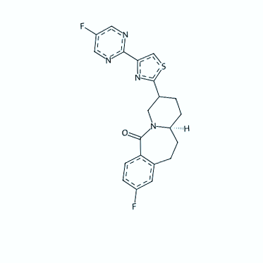 O=C1c2ccc(F)cc2CC[C@@H]2CCC(c3nc(-c4ncc(F)cn4)cs3)CN12